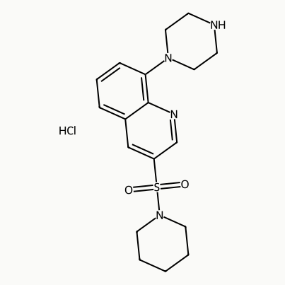 Cl.O=S(=O)(c1cnc2c(N3CCNCC3)cccc2c1)N1CCCCC1